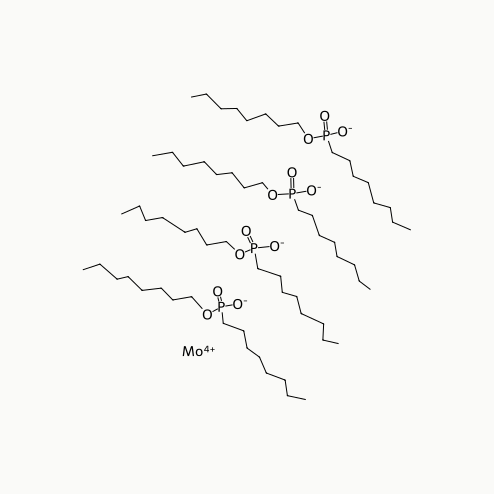 CCCCCCCCOP(=O)([O-])CCCCCCCC.CCCCCCCCOP(=O)([O-])CCCCCCCC.CCCCCCCCOP(=O)([O-])CCCCCCCC.CCCCCCCCOP(=O)([O-])CCCCCCCC.[Mo+4]